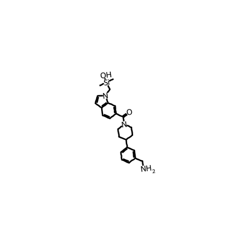 C[Si](C)(O)Cn1ccc2ccc(C(=O)N3CCC(c4cccc(CN)c4)CC3)cc21